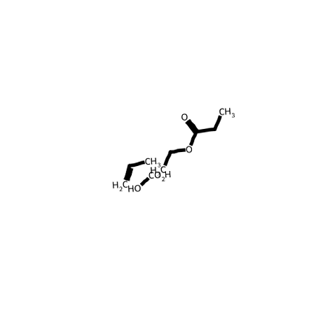 C=CC.CCOC(=O)CC.O=C(O)O